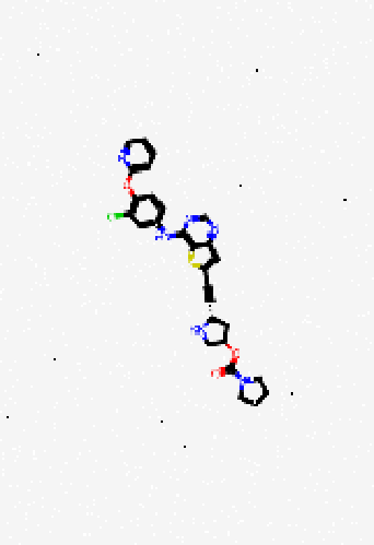 O=C(O[C@H]1CN[C@H](C#Cc2cc3ncnc(Nc4ccc(Oc5ccccn5)c(Cl)c4)c3s2)C1)N1CCCC1